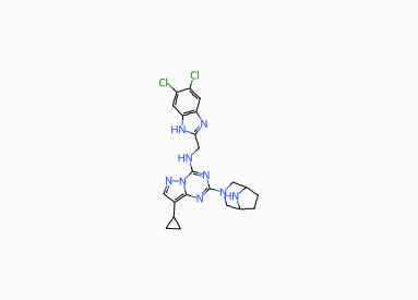 Clc1cc2nc(CNc3nc(N4CC5CCC(C4)N5)nc4c(C5CC5)cnn34)[nH]c2cc1Cl